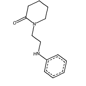 O=C1CCCCN1CCNc1ccccc1